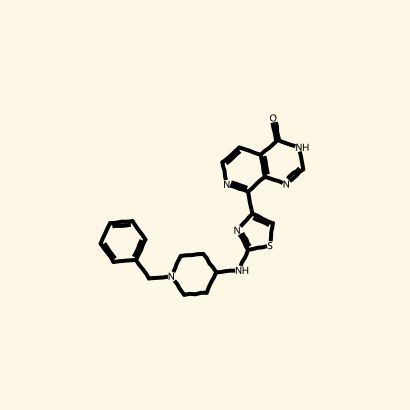 O=c1[nH]cnc2c(-c3csc(NC4CCN(Cc5ccccc5)CC4)n3)nccc12